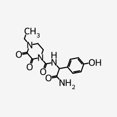 CCN1CCN(C(=O)NC(C(N)=O)c2ccc(O)cc2)C(=O)C1=O